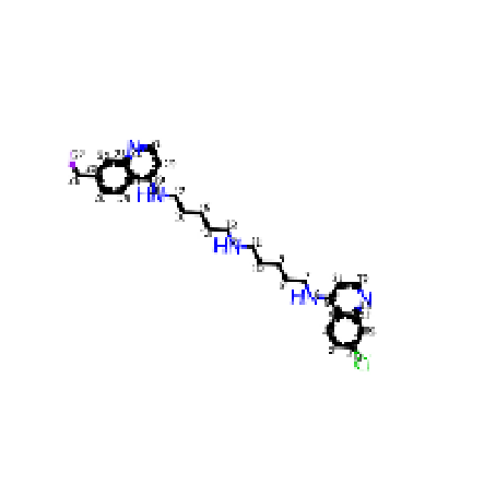 Clc1ccc2c(NCCCCCNCCCCCNc3ccnc4cc(CI)ccc34)ccnc2c1